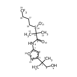 CC(C)(CO)c1cc(NC(=O)C(C)(C)[S+]([O-])CCCC(F)(F)F)on1